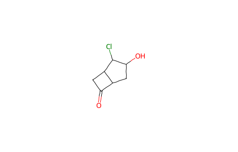 O=C1CC2C1CC(O)C2Cl